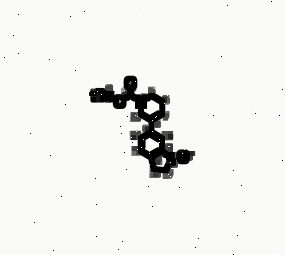 CC(C)(C)OC(=O)N1CCC=C(c2ccc3c(c2)[S+]([O-])CC3)C1